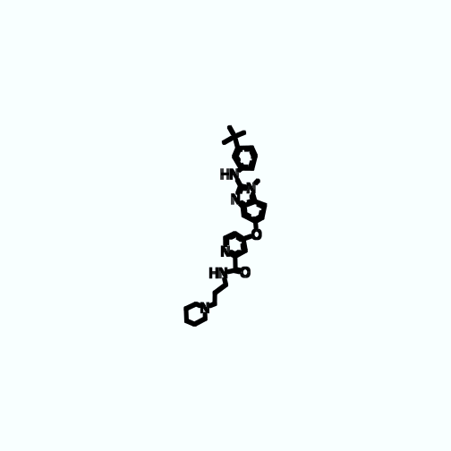 Cn1c(Nc2cccc(C(C)(C)C)c2)nc2cc(Oc3ccnc(C(=O)NCCCN4CCCCC4)c3)ccc21